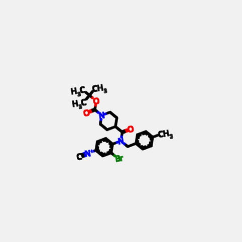 [C-]#[N+]c1ccc(N(Cc2ccc(C)cc2)C(=O)C2CCN(C(=O)OC(C)(C)C)CC2)c(Br)c1